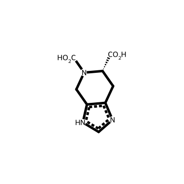 O=C(O)[C@@H]1Cc2nc[nH]c2CN1C(=O)O